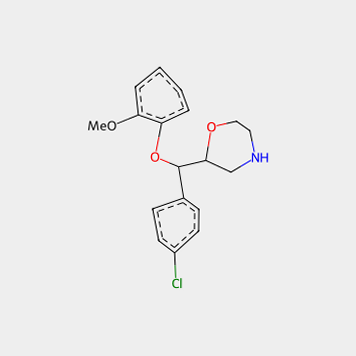 COc1ccccc1OC(c1ccc(Cl)cc1)C1CNCCO1